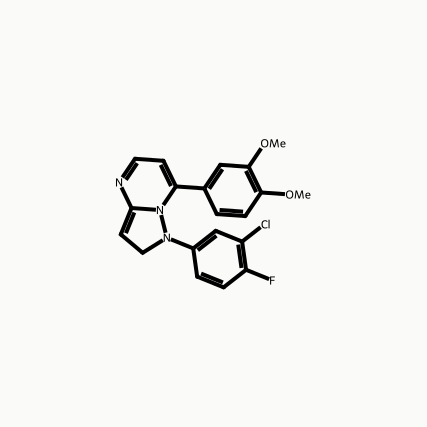 COc1ccc(C2=CC=NC3=CCN(c4ccc(F)c(Cl)c4)N32)cc1OC